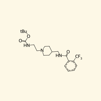 CC(C)(C)OC(=O)NCCN1CCC(CNC(=O)c2ccccc2C(F)(F)F)CC1